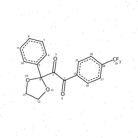 O=C(C(=O)C1(c2ccccc2)OCCO1)c1ccc(C(F)(F)F)cc1